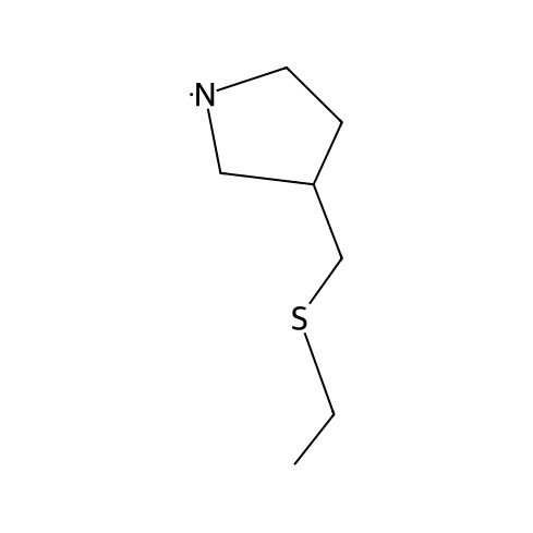 CCSCC1CC[N]C1